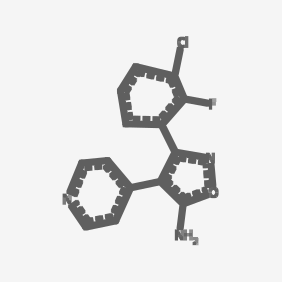 Nc1onc(-c2cccc(Cl)c2F)c1-c1ccncc1